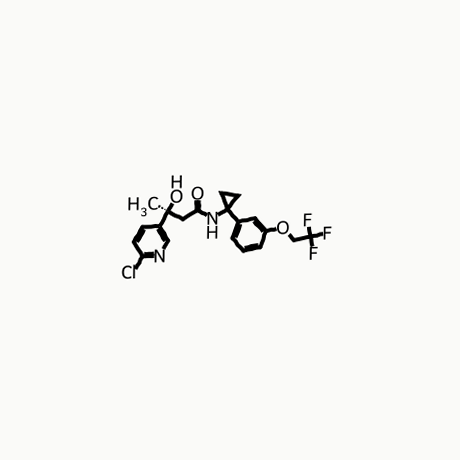 C[C@](O)(CC(=O)NC1(c2cccc(OCC(F)(F)F)c2)CC1)c1ccc(Cl)nc1